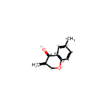 C=C1COc2ccc(C)cc2C1=O